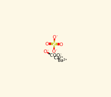 O=C([O-])[O-].O=S(=O)([O-])[O-].[Ba+2].[Ca+2]